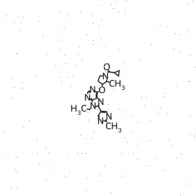 CCn1c(-c2cnc(C)nc2)nc2c(OC3CCN(C(=O)C4CC4)C3C)ncnc21